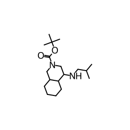 CC(C)CNC1CN(C(=O)OC(C)(C)C)CC2CCCCC21